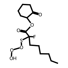 CCCCCCC(F)(SOOO)C(=O)OC1CCCCC1=O